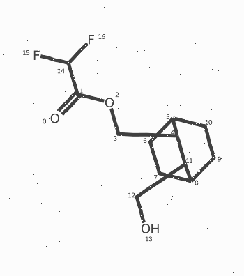 O=C(OCC1C2CCC(CC2)C1CO)C(F)F